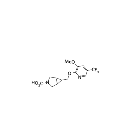 COc1cc(C(F)(F)F)cnc1OCC1C2CN(C(=O)O)CC12